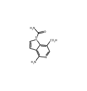 NC(=O)[SH]1C=Cc2c(N)ncc(C(=O)O)c21